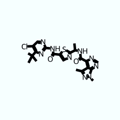 Cc1nn(C)c2ncnc(C(=O)NC(C)c3ncc(C(=O)Nc4ncc(Cl)c(C(C)(C)C)n4)s3)c12